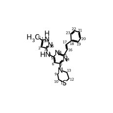 Cc1cc(Nc2cc(N3CCSCC3)nc(/C=C/c3ccccc3)n2)n[nH]1